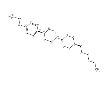 CCCCCC[C@H]1CC[C@H]([C@H]2CC[C@H](c3ccc(CCC)cc3)CC2)CC1